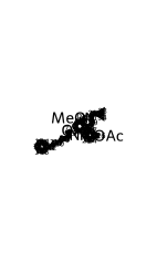 CO[C@]12CC[C@H](NC(=O)CCCCCc3ccccc3)C[C@]1(c1cccc(OC(C)=O)c1)CCN(CC1CC1)C2